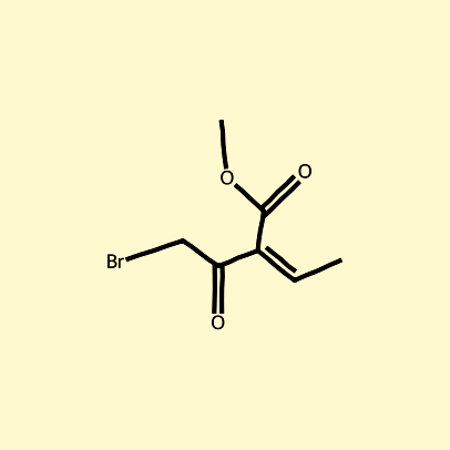 C/C=C(/C(=O)CBr)C(=O)OC